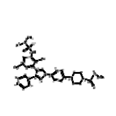 CCN(C)S(=O)(=O)Nc1cc(Cl)cc(-c2cn(-c3ccc(N4CCN(C(=O)OC(C)(C)C)CC4)cn3)nc2-c2ccncc2)c1F